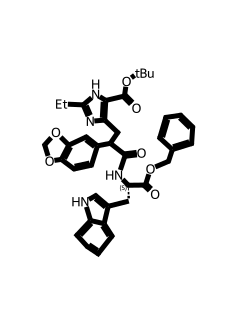 CCc1nc(CC(C(=O)N[C@@H](Cc2c[nH]c3ccccc23)C(=O)OCc2ccccc2)c2ccc3c(c2)OCO3)c(C(=O)OC(C)(C)C)[nH]1